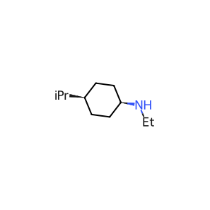 CCN[C@H]1CC[C@@H](C(C)C)CC1